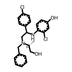 C[C@H](CO)N(Cc1ccccc1)CC(Nc1ccc(O)cc1Cl)c1ccc(Cl)cc1